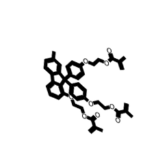 C=C(C)C(=O)OCCOc1ccc(C2(c3ccc(OCCOC(=O)C(=C)C)cc3)c3cc(C)ccc3-c3cccc(OCCOC(=O)C(=C)C)c32)cc1